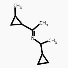 C/C(=N\C(C)C1CC1)C1CC1C